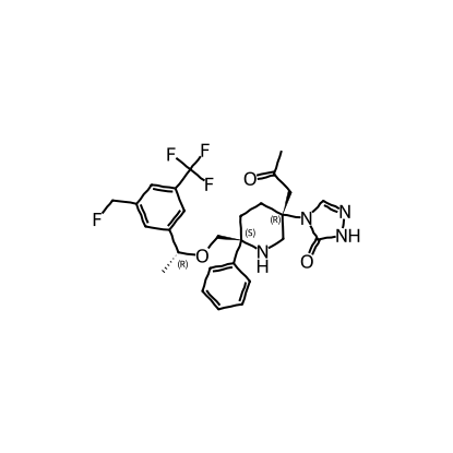 CC(=O)C[C@]1(n2cn[nH]c2=O)CC[C@@](CO[C@H](C)c2cc(CF)cc(C(F)(F)F)c2)(c2ccccc2)NC1